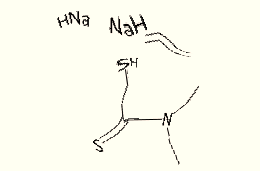 C=C.CN(C)C(=S)S.[NaH].[NaH]